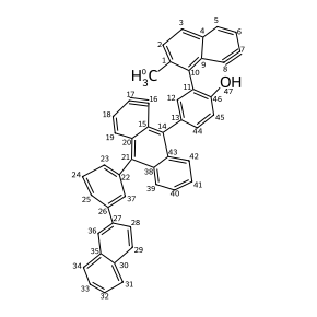 Cc1ccc2ccc#cc2c1-c1cc(-c2c3c#cccc3c(-c3cccc(-c4ccc5ccccc5c4)c3)c3ccccc23)ccc1O